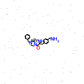 CCCN[C@H](Cc1ccc(CN)cc1)C(=O)N1CCN(Cc2ccccc2)CC1